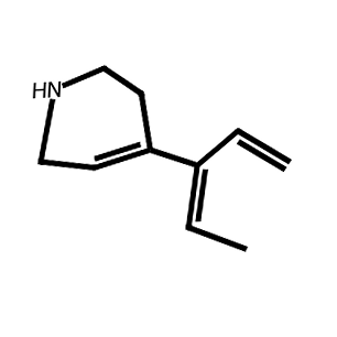 C=C/C(=C\C)C1=CCNCC1